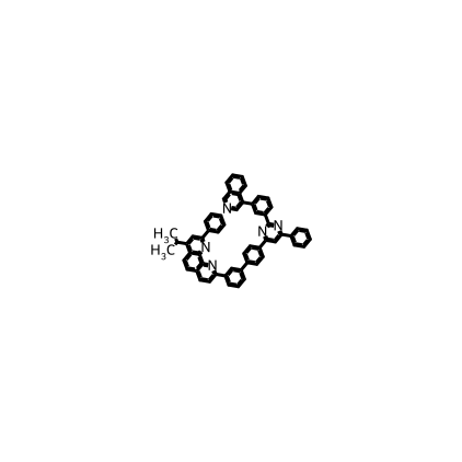 CC(C)c1cc(-c2ccccc2)nc2c1ccc1ccc(-c3cccc(-c4ccc(-c5cc(-c6ccccc6)nc(-c6cccc(-c7cncc8ccccc78)c6)n5)cc4)c3)nc12